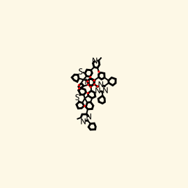 Cc1cc(C)c(-c2ccc3c(c2)Sc2ccccc2C32c3ccccc3-c3cc(-c4nc(-c5ccccc5)nc(-c5ccccc5-c5cccc(-c6cncc(-c7ccc8c(c7)C7(c9ccccc9Sc9ccccc97)c7cc(-c9cc(C)nc(-c%10ccccc%10)n9)ccc7-8)c6C)c5)n4)ccc32)cn1